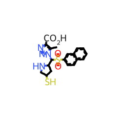 Cc1c(C(=O)O)nnn1C(C1CC(S)CN1)S(=O)(=O)c1ccc2ccccc2c1